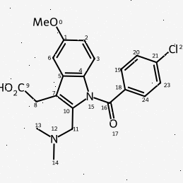 COc1ccc2c(c1)c(CC(=O)O)c(CN(C)C)n2C(=O)c1ccc(Cl)cc1